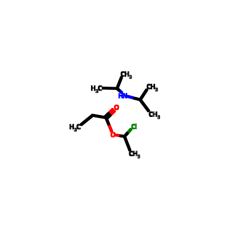 CC(C)NC(C)C.CCC(=O)OC(C)Cl